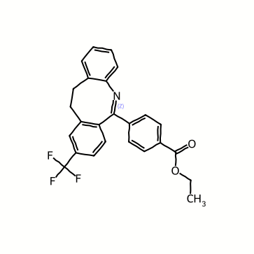 CCOC(=O)c1ccc(/C2=N/c3ccccc3CCc3cc(C(F)(F)F)ccc32)cc1